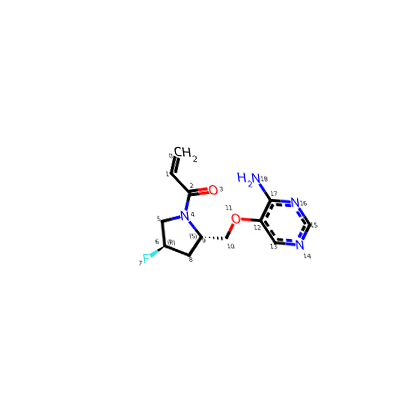 C=CC(=O)N1C[C@H](F)C[C@H]1COc1cncnc1N